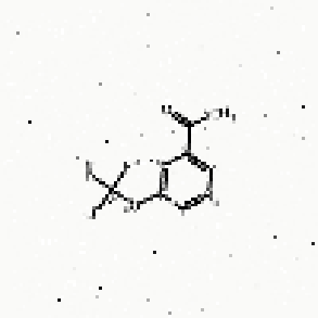 CC(=O)c1cncc(OC(F)(F)F)c1